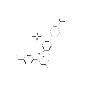 CCc1ccc(N(CC(C)C)S(=O)(=O)c2ccc(N3CCN(C(C)=O)CC3)c(NS(C)(=O)=O)c2)cc1